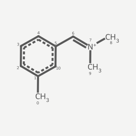 Cc1cccc(C=[N+](C)C)c1